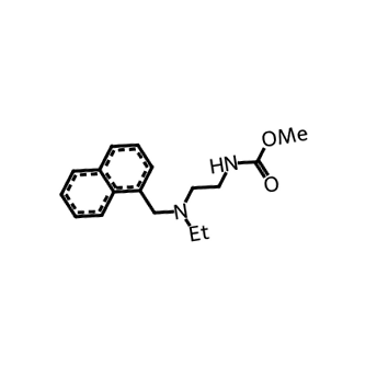 CCN(CCNC(=O)OC)Cc1cccc2ccccc12